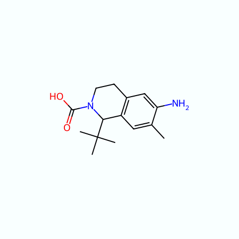 Cc1cc2c(cc1N)CCN(C(=O)O)C2C(C)(C)C